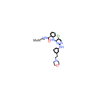 CNCCNC(=O)c1ccccc1Nc1nc(Nc2cccc(CCN3CCOCC3)c2)ncc1Cl